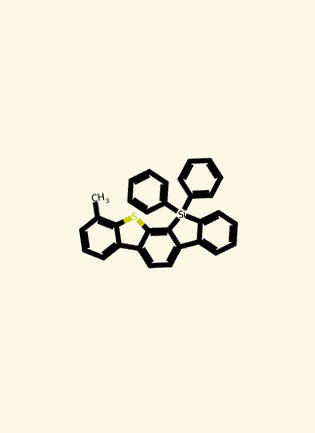 Cc1cccc2c1sc1c3c(ccc12)-c1ccccc1[Si]3(c1ccccc1)c1ccccc1